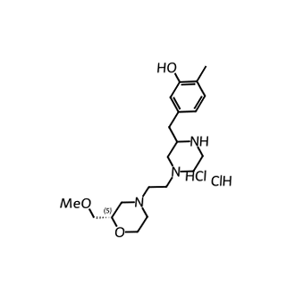 COC[C@@H]1CN(CCN2CCNC(Cc3ccc(C)c(O)c3)C2)CCO1.Cl.Cl